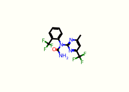 Cc1cc(C(F)(F)F)nc(N(C(N)=O)c2ccccc2C(F)(F)F)n1